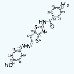 O=C(Nc1nc2sc(N=Nc3ccc(O)cc3)cc2s1)c1ccc(C(F)(F)F)cc1